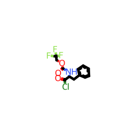 O=C(NC(Cc1ccccc1)C(=O)Cl)OCC(F)(F)F